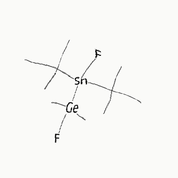 C[C](C)(C)[Sn]([F])([C](C)(C)C)[Ge]([CH3])([CH3])[F]